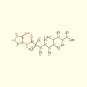 CCCC(CC)C(CC)C(CC)C(CC)C(CC)C(CC)C(CC)C(CC)C(C)(CC)C(=O)OC1CCOC1=O